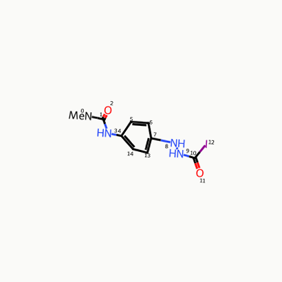 CNC(=O)Nc1ccc(NNC(=O)I)cc1